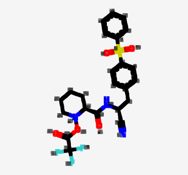 N#C[C@H](Cc1ccc(S(=O)(=O)c2ccccc2)cc1)NC(=O)[C@@H]1CCCCN1OC(=O)C(F)(F)F